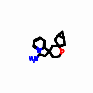 NCCC1(c2ccccn2)CCOC2(CC3CC3C2)C1